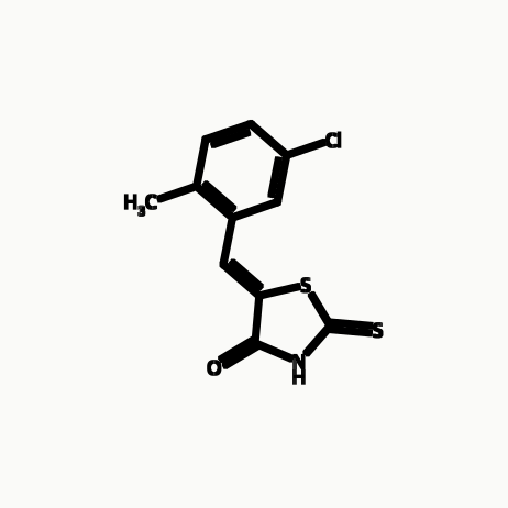 Cc1ccc(Cl)cc1/C=C1\SC(=S)NC1=O